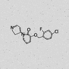 O=c1c(OCc2ccc(Cl)cc2F)cccn1C1=CC=NCC1